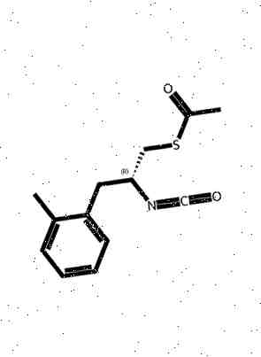 CC(=O)SC[C@@H](Cc1ccccc1C)N=C=O